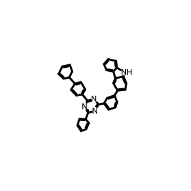 C1=CCC(c2ccc(-c3nc(-c4ccccc4)nc(-c4cccc(-c5ccc6[nH]c7ccccc7c6c5)c4)n3)cc2)C=C1